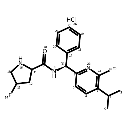 CC(C)c1ccc([C@@H](NC(=O)C2CC(F)CN2)c2ccccc2)nc1F.Cl